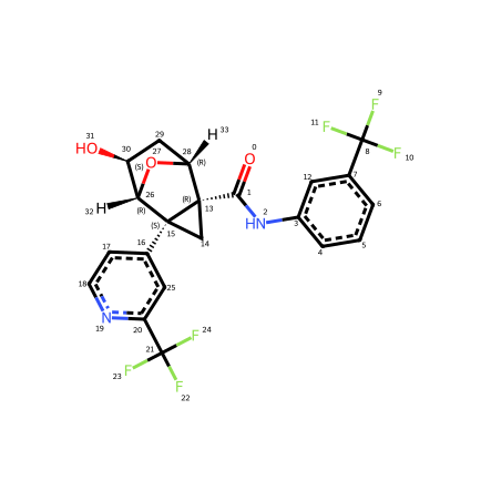 O=C(Nc1cccc(C(F)(F)F)c1)[C@]12C[C@@]1(c1ccnc(C(F)(F)F)c1)[C@H]1O[C@@H]2C[C@@H]1O